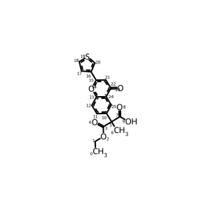 CCOC(=O)C(C)(C(=O)O)c1ccc2oc(-c3ccsc3)cc(=O)c2c1